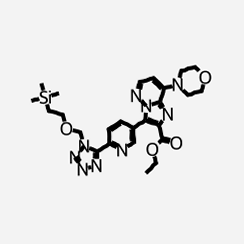 CCOC(=O)c1nc2c(N3CCOCC3)ccnn2c1-c1ccc(-c2nnnn2COCC[Si](C)(C)C)nc1